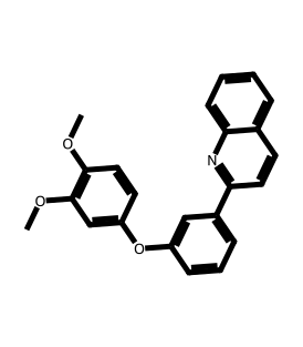 COc1ccc(Oc2cccc(-c3ccc4ccccc4n3)c2)cc1OC